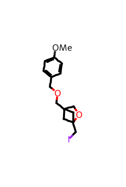 COc1ccc(COCC23COC(CI)(C2)C3)cc1